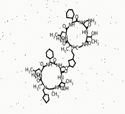 CC(C)C[C@H]1C(=O)N[C@@H](C2CCCCC2)C(=O)N[C@@H](CN)C(=O)N[C@@H]([C@H](C)O)C(=O)NCCN(CCC2CCC(OC[C@@H]3NC(=O)[C@H](C4CCCCC4)NC(=O)[C@H](CC(C)C)N(C)C(=O)[C@H](C)N(CC4CCCC4)C[C@@H](C)NC(=O)[C@H]([C@H](C)O)NC3=O)C2)[C@@H](C)C(=O)N1C